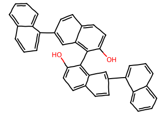 Oc1ccc2ccc(-c3cccc4ccccc34)cc2c1-c1c(O)ccc2ccc(-c3cccc4ccccc34)cc12